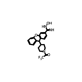 N=C(NO)c1ccc2c(c1)Oc1ccccc1C2C1CCN(C(=O)C(F)(F)F)CC1